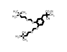 CCOC(=O)C(C)(C#N)Cc1ccc(OCOCC[Si](C)(C)C)c(OCOCC[Si](C)(C)C)c1